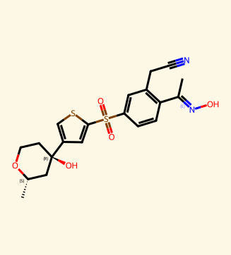 C/C(=N\O)c1ccc(S(=O)(=O)c2cc([C@@]3(O)CCO[C@@H](C)C3)cs2)cc1CC#N